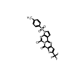 Cc1ccc(S(=O)(=O)n2ccc3c2nc(Cl)n2c(=O)c4sc(C(F)(F)F)cc4nc32)cc1